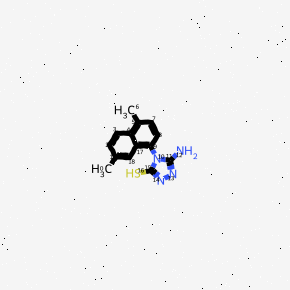 Cc1ccc2c(C)ccc(-n3c(N)nnc3S)c2c1